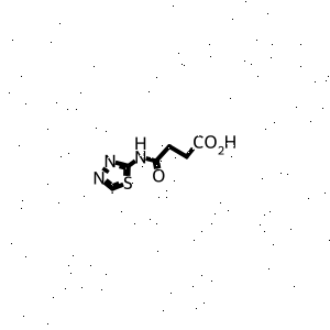 O=C(O)CCC(=O)Nc1nn[c]s1